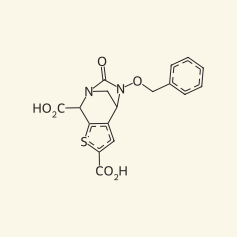 O=C(O)c1cc2c(s1)C(C(=O)O)N1CC2N(OCc2ccccc2)C1=O